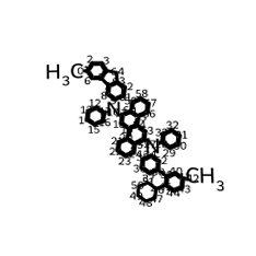 Cc1ccc2c(c1)-c1cc(N(c3ccccc3)c3cc4c5ccccc5c(N(c5ccccc5)c5cccc(-c6cc(C)ccc6C6CCCCC6)c5)cc4c4ccccc34)ccc1C2